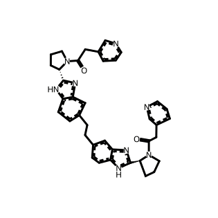 O=C(Cc1cccnc1)N1CCC[C@H]1c1nc2cc(CCc3ccc4[nH]c([C@@H]5CCCN5C(=O)Cc5cccnc5)nc4c3)ccc2[nH]1